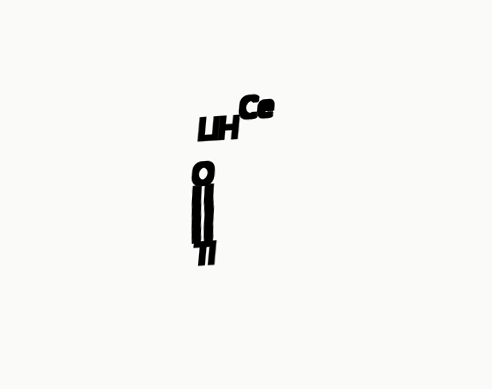 [Ce].[LiH].[O]=[Ti]